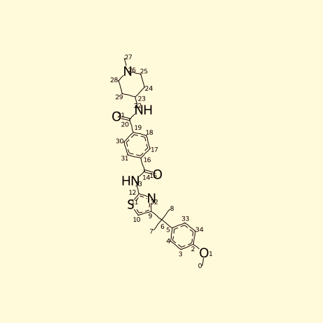 COc1ccc(C(C)(C)c2csc(NC(=O)c3ccc(C(=O)NC4CCN(C)CC4)cc3)n2)cc1